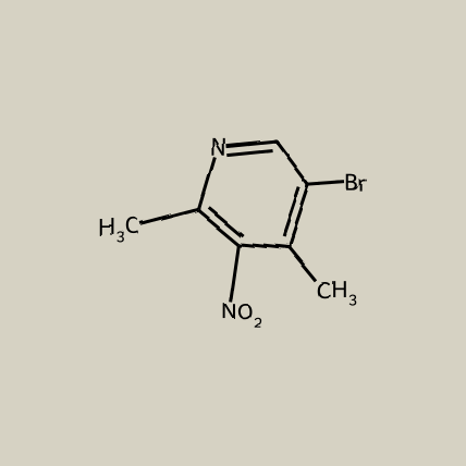 Cc1ncc(Br)c(C)c1[N+](=O)[O-]